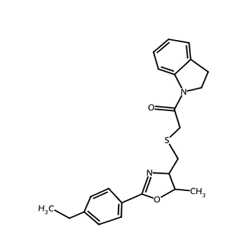 CCc1ccc(C2=NC(CSCC(=O)N3CCc4ccccc43)C(C)O2)cc1